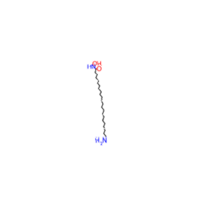 NCCCCCCCCCCCCCCCCCCCCCCC(=O)NO